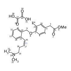 COC(=O)Cc1ccc(OCc2ccccc2/C=C\CCN(C)C)c(I)c1.O=C(O)C(=O)O